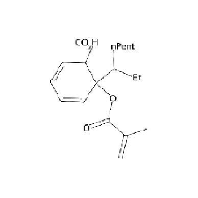 C=C(C)C(=O)OC1(C(CC)CCCCC)C=CC=CC1C(=O)O